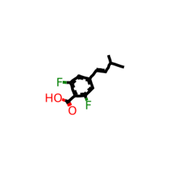 CC(C)C=Cc1cc(F)c(C(=O)O)c(F)c1